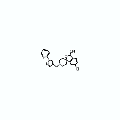 N#CC1OC2(CCN(Cc3cnn(-c4ccccn4)c3)CC2)c2cc(Cl)ccc21